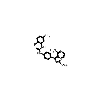 C=C(Nc1ccc(-c2nc(SC)n3ccnc(N)c23)cc1)Nc1cc(C(F)(F)F)ccc1F